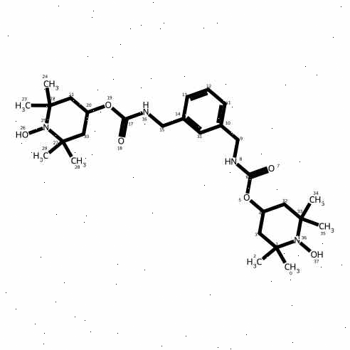 CC1(C)CC(OC(=O)NCc2cccc(CNC(=O)OC3CC(C)(C)N(O)C(C)(C)C3)c2)CC(C)(C)N1O